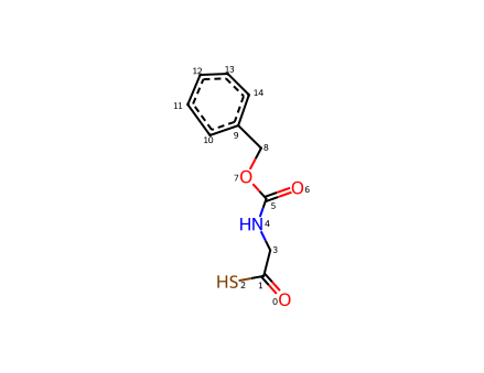 O=C(S)CNC(=O)OCc1ccccc1